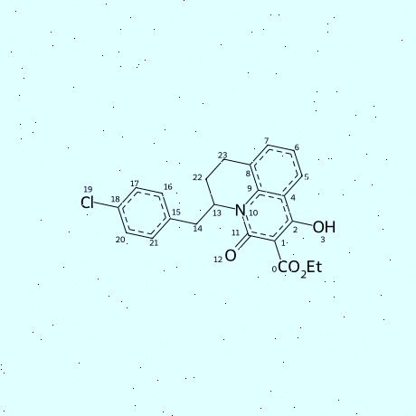 CCOC(=O)c1c(O)c2cccc3c2n(c1=O)C(Cc1ccc(Cl)cc1)CC3